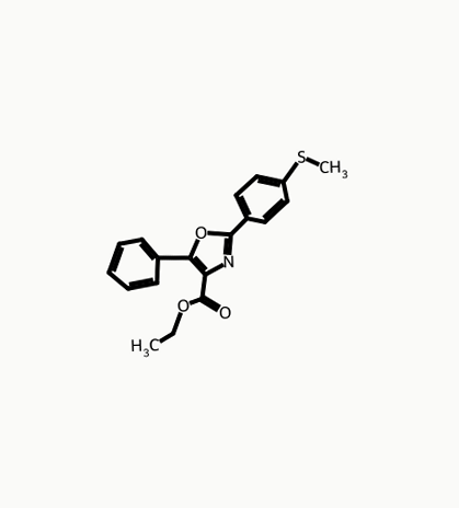 CCOC(=O)c1nc(-c2ccc(SC)cc2)oc1-c1ccccc1